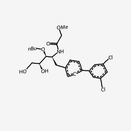 CCCCO[C@@H]([C@H](Cc1ccc(-c2cc(Cl)cc(Cl)c2)cc1)NC(=O)COC)[C@@H](O)CO